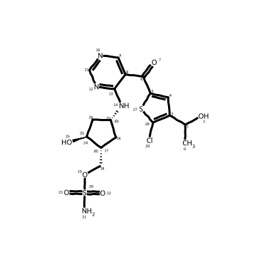 CC(O)c1cc(C(=O)c2cncnc2N[C@@H]2C[C@H](COS(N)(=O)=O)[C@@H](O)C2)sc1Cl